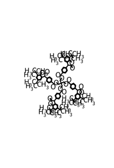 CC(C)(C)c1cc2c(c(C(C)(C)C)c1)OC(=O)C2c1ccc(C(=O)OCC(COC(=O)c2ccc(C3C(=O)Oc4c3cc(C(C)(C)C)cc4C(C)(C)C)cc2)(COC(=O)c2ccc(C3C(=O)Oc4c3cc(C(C)(C)C)cc4C(C)(C)C)cc2)COC(=O)c2ccc(C3C(=O)Oc4c3cc(C(C)(C)C)cc4C(C)(C)C)cc2)cc1